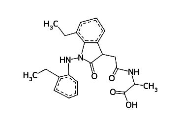 CCc1ccccc1NN1C(=O)C(CC(=O)NC(C)C(=O)O)c2cccc(CC)c21